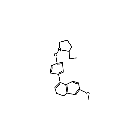 CCC1CCCN1Oc1ccc(C2=CCCc3cc(OC)ccc32)cc1